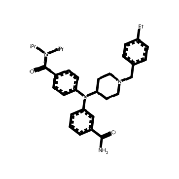 CCc1ccc(CN2CCC(N(c3ccc(C(=O)N(C(C)C)C(C)C)cc3)c3cccc(C(N)=O)c3)CC2)cc1